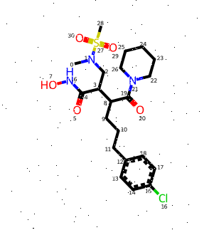 CN(CC(C(=O)NO)C(CCCc1ccc(Cl)cc1)C(=O)N1CCCCC1)S(C)(=O)=O